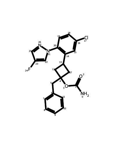 NC(=O)OC1(Cc2ccccc2)CC(c2cc(Cl)ccc2-n2cc(F)cn2)C1